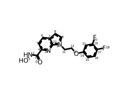 O=C(NO)c1ccc2ccn(CCOc3ccc(F)c(F)c3)c2n1